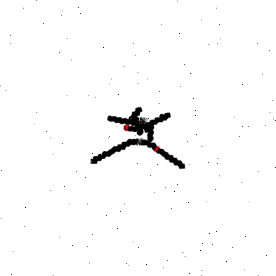 CCCCCCCCCCCCCCCCCC#[C][Ni][C]#CCCCCCCCCCCCCCCCCC.CCCCCCCCc1cc(CCCC)cc(C2=C(CC)C(CCCCC)=C(c3cc(CCCC)cc(CCCCCCCC)c3)[N+]2=[N-])c1